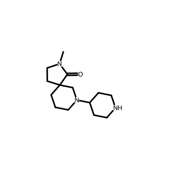 CN1CCC2(CCCN(C3CCNCC3)C2)C1=O